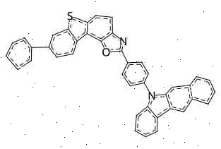 c1ccc(-c2ccc3c(c2)sc2ccc4nc(-c5ccc(-n6c7ccccc7c7cc8ccccc8cc76)cc5)oc4c23)cc1